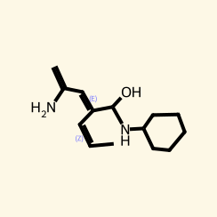 C=C(N)/C=C(\C=C/C)C(O)NC1CCCCC1